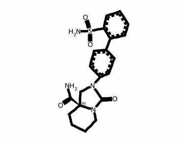 NC(=O)[C@]12[CH]CCCN1C(=O)N(c1ccc(-c3ccccc3S(N)(=O)=O)cc1)C2